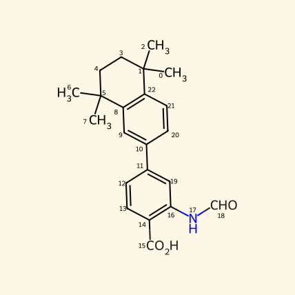 CC1(C)CCC(C)(C)c2cc(-c3ccc(C(=O)O)c(NC=O)c3)ccc21